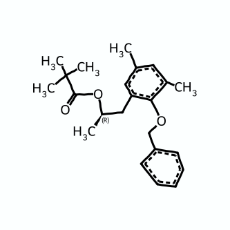 Cc1cc(C)c(OCc2ccccc2)c(C[C@@H](C)OC(=O)C(C)(C)C)c1